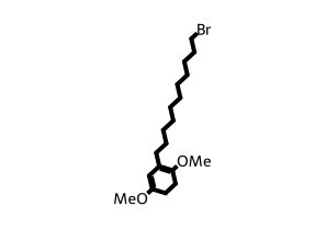 COC1=CC(CCCCCCCCCCCBr)=C(OC)CC1